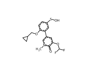 Cn1cc(-c2cc(SO)ccc2OCC2CC2)cc(OC(F)F)c1=O